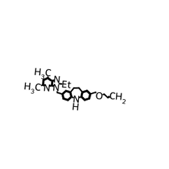 C=CCOCc1ccc2c(c1)CCc1cc(Cn3c(CC)nc4c(C)cc(C)nc43)ccc1N2